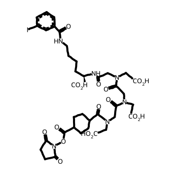 O=C(O)CN(CC(=O)N[C@H](CCCCNC(=O)c1cccc(I)c1)C(=O)O)C(=O)CN(CC(=O)O)C(=O)CN(CC(=O)O)C(=O)C1CCC(C(=O)ON2C(=O)CCC2=O)CC1